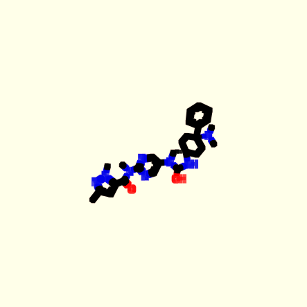 Cc1cc(C(=O)N(C)c2ncc(N3C[C@]4(CC[C@](c5ccccc5)(N(C)C)CC4)NC3O)cn2)n(C)n1